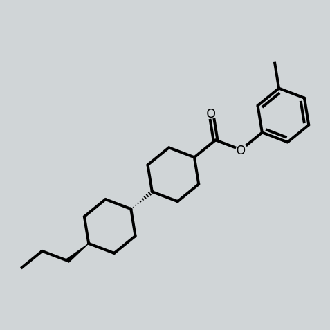 CCC[C@H]1CC[C@H](C2CCC(C(=O)Oc3cccc(C)c3)CC2)CC1